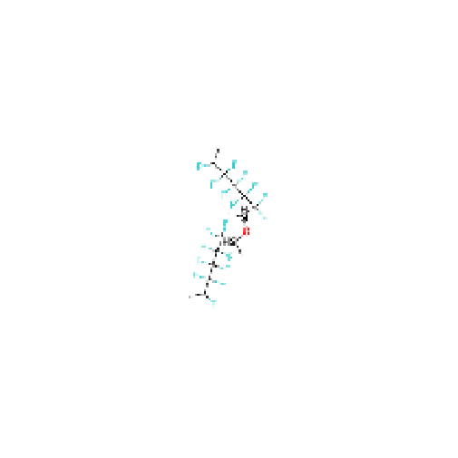 CC(F)C(F)(F)C(F)(F)C(F)(F)C(F)(F)[SiH](C)O[SiH](C)C(F)(F)C(F)(F)C(F)(F)C(F)(F)C(C)F